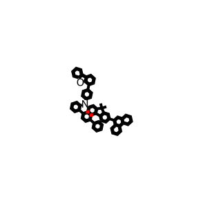 CC1(C)c2cc(-c3cc4ccccc4c4ccccc34)ccc2-c2ccc(N(c3ccc(-c4cccc5c4oc4ccccc45)cc3)c3ccccc3-c3ccc(-c4ccccc4)cc3)cc21